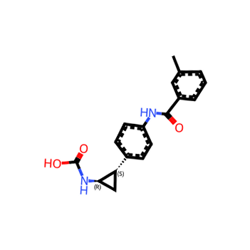 Cc1cccc(C(=O)Nc2ccc([C@@H]3C[C@H]3NC(=O)O)cc2)c1